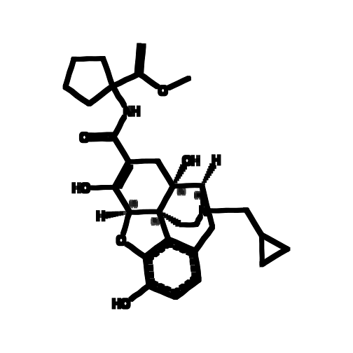 C=C(OC)C1(NC(=O)C2=C(O)[C@@H]3Oc4c(O)ccc5c4[C@@]34CCN(CC3CC3)[C@H](C5)[C@]4(O)C2)CCCC1